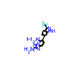 Nc1nc2ccc(-c3ccc4c(C(F)(F)F)n[nH]c4c3)c(N)n2n1